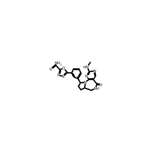 CNc1ncc2c(n1)N1C(CCC1c1cccc(-c3nnc(C(N)=O)o3)c1)CNC2=O